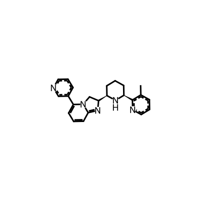 Cc1cccnc1[C@@H]1CCC[C@H](C2CN3C(c4cccnc4)=CC=CC3=N2)N1